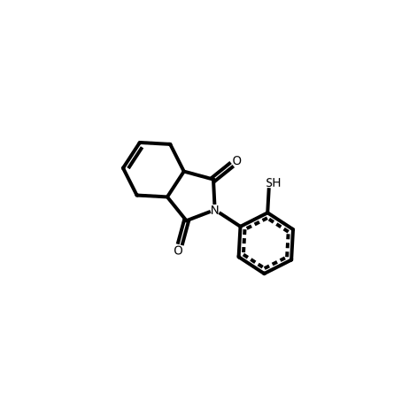 O=C1C2CC=CCC2C(=O)N1c1ccccc1S